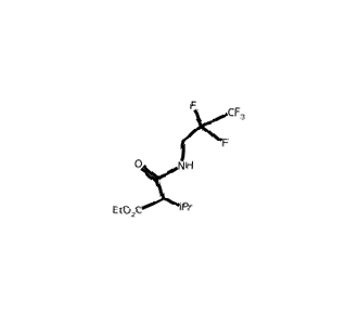 CCOC(=O)C(C(=O)NCC(F)(F)C(F)(F)F)C(C)C